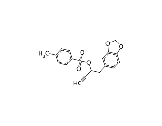 C#CC(Cc1ccc2c(c1)OCO2)OS(=O)(=O)c1ccc(C)cc1